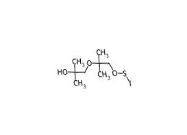 CC(C)(O)COC(C)(C)COSI